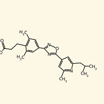 Cc1cc(-c2nc(-c3cc(C)c(CCC(=O)O)c(C)c3)no2)cc(CC(C)C)n1